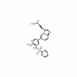 COc1ncc(-c2ccc3ncc(C#CC(C)O)n3c2)cc1NS(=O)(=O)c1ccccc1